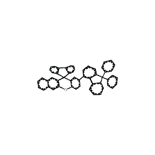 c1ccc(C2(c3ccccc3)c3ccccc3-c3c(-c4ccc5c(c4)C4(c6cc7ccccc7cc6O5)c5ccccc5-c5ccccc54)cccc32)cc1